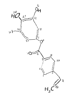 C=Cc1ccc(C(=O)Oc2cc(O)c(O)c(I)c2)cc1